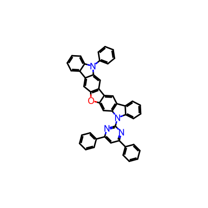 c1ccc(-c2cc(-c3ccccc3)nc(-n3c4ccccc4c4cc5c(cc43)oc3cc4c6ccccc6n(-c6ccccc6)c4cc35)n2)cc1